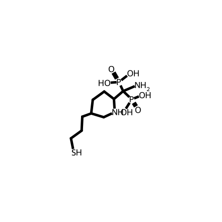 NC(C1CCC(CCCS)CN1)(P(=O)(O)O)P(=O)(O)O